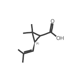 CC(C)=C[C@@H]1C(C(=O)O)C1(C)C